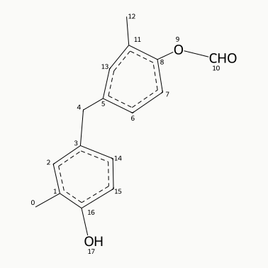 Cc1cc(Cc2ccc(OC=O)c(C)c2)ccc1O